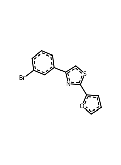 Brc1cccc(-c2csc(-c3ccco3)n2)c1